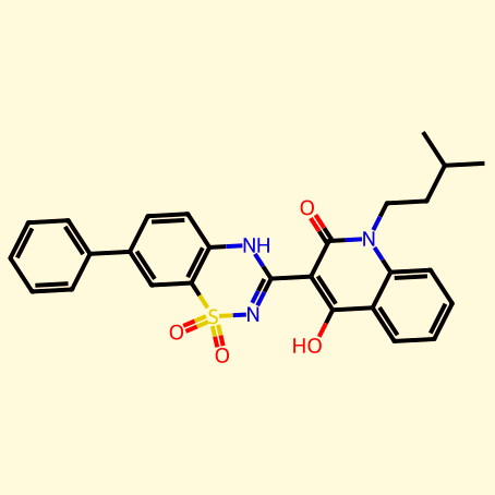 CC(C)CCn1c(=O)c(C2=NS(=O)(=O)c3cc(-c4ccccc4)ccc3N2)c(O)c2ccccc21